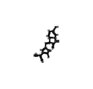 Cc1[se]c(/C=C2\C(=O)Nc3cc(F)ccc32)cc1C(=O)O